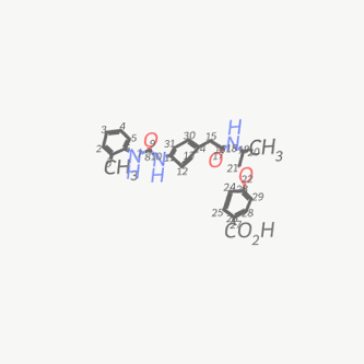 Cc1ccccc1NC(=O)Nc1ccc(CC(=O)NC(C)COc2ccc(C(=O)O)cc2)cc1